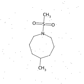 CC1CCCN(S(C)(=O)=O)CCC1